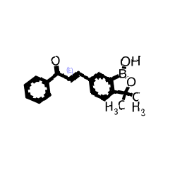 CC1(C)OB(O)c2cc(/C=C/C(=O)c3ccccc3)ccc21